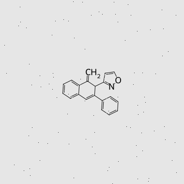 C=C1c2ccccc2C=C(c2ccccc2)C1c1ccon1